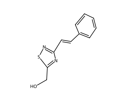 OCc1nc(C=Cc2ccccc2)ns1